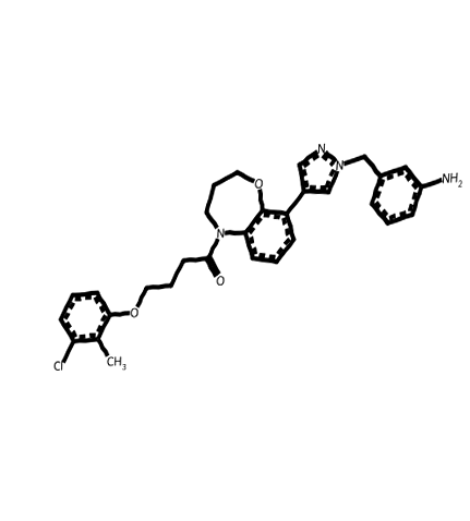 Cc1c(Cl)cccc1OCCCC(=O)N1CCCOc2c(-c3cnn(Cc4cccc(N)c4)c3)cccc21